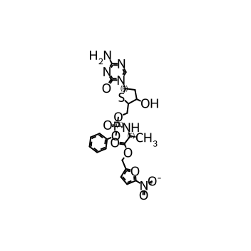 C[C@H](N[P@](=O)(OCC1S[C@@H](n2cnc(N)nc2=O)CC1O)Oc1ccccc1)C(=O)OCc1ccc([N+](=O)[O-])o1